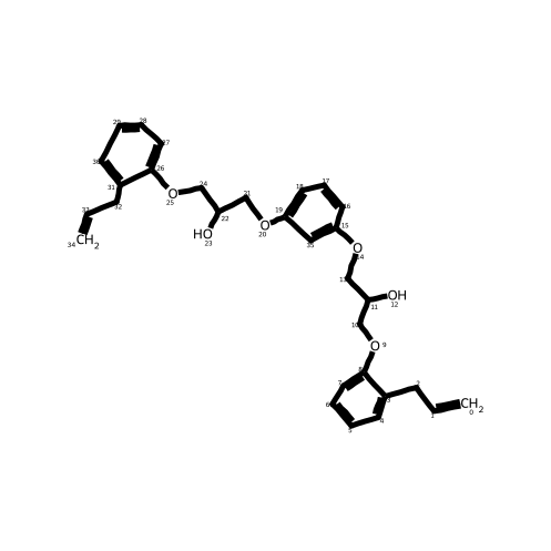 C=CCc1ccccc1OCC(O)COc1cccc(OCC(O)COc2ccccc2CC=C)c1